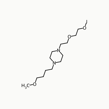 COCCCCN1CCN(CCOCCOI)CC1